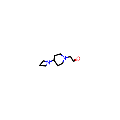 O=CCN1CCC(N2CCC2)CC1